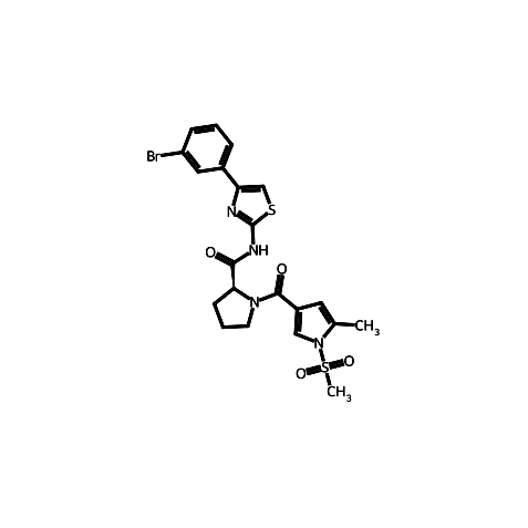 Cc1cc(C(=O)N2CCC[C@H]2C(=O)Nc2nc(-c3cccc(Br)c3)cs2)cn1S(C)(=O)=O